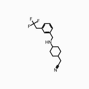 N#CCC1CCC(NCc2cccc(CC(F)(F)F)c2)CC1